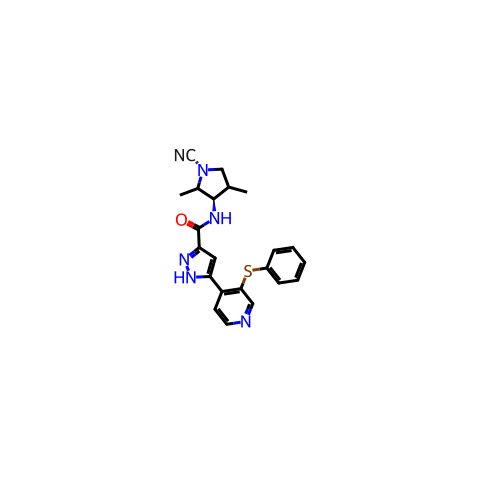 CC1CN(C#N)C(C)[C@@H]1NC(=O)c1cc(-c2ccncc2Sc2ccccc2)[nH]n1